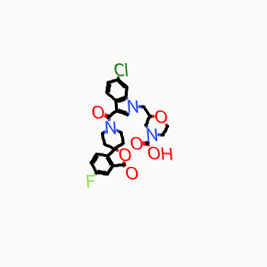 O=C1OC2(CCN(C(=O)c3cn(CC4CN(C(=O)O)CCO4)c4cc(Cl)ccc34)CC2)c2ccc(F)cc21